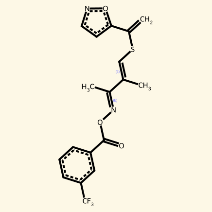 C=C(S/C=C(C)/C(C)=N/OC(=O)c1cccc(C(F)(F)F)c1)c1ccno1